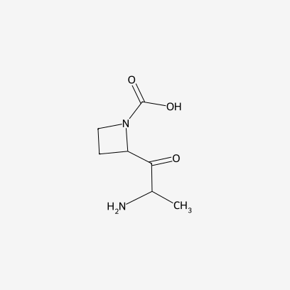 CC(N)C(=O)C1CCN1C(=O)O